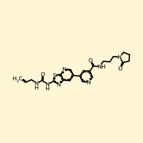 C=CCNC(=O)Nc1nc2cc(-c3cncc(C(=O)NCCCN4CCCC4=O)c3)cnc2s1